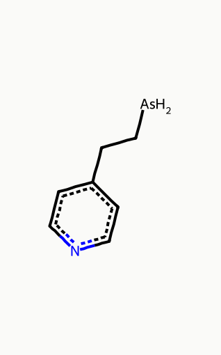 [AsH2]CCc1ccncc1